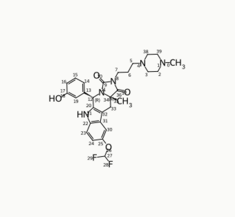 CN1CCN(CCCN2C(=O)N3[C@H](c4cccc(O)c4)c4[nH]c5ccc(OC(F)F)cc5c4C[C@@]3(C)C2=O)CC1